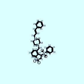 O=S1(=O)CC(S(=O)(=O)c2ccccc2)c2c(CN3CCN(CC=Cc4ccccc4)CC3)cccc21